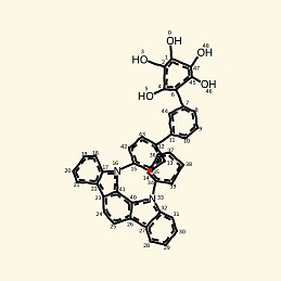 Oc1c(O)c(O)c(-c2cccc(-c3ccc(-n4c5ccccc5c5ccc6c7ccccc7n(-c7ccccc7)c6c54)cc3)c2)c(O)c1O